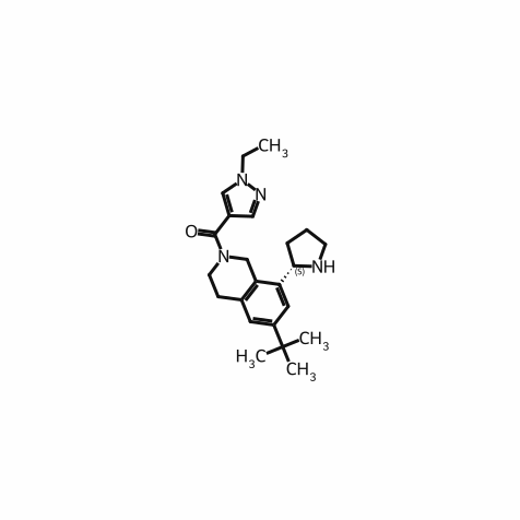 CCn1cc(C(=O)N2CCc3cc(C(C)(C)C)cc([C@@H]4CCCN4)c3C2)cn1